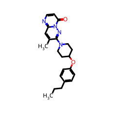 CCCc1ccc(OC2CCN(c3nn4c(=O)ccnc4cc3C)CC2)cc1